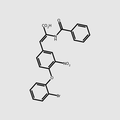 O=C(O)C(=Cc1ccc(Oc2ccccc2Br)c([N+](=O)[O-])c1)NC(=O)c1ccccc1